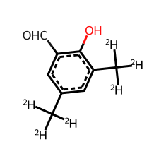 [2H]C([2H])([2H])c1cc(C=O)c(O)c(C([2H])([2H])[2H])c1